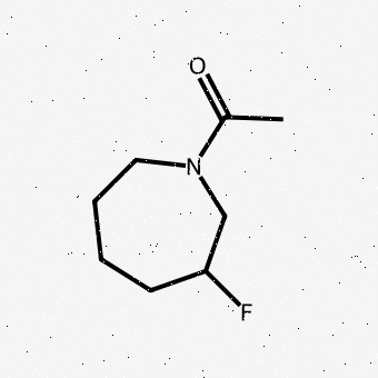 CC(=O)N1CCCCC(F)C1